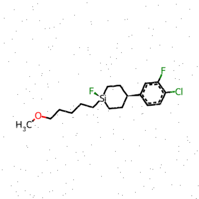 COCCCCC[Si@]1(F)CC[C@@H](c2ccc(Cl)c(F)c2)CC1